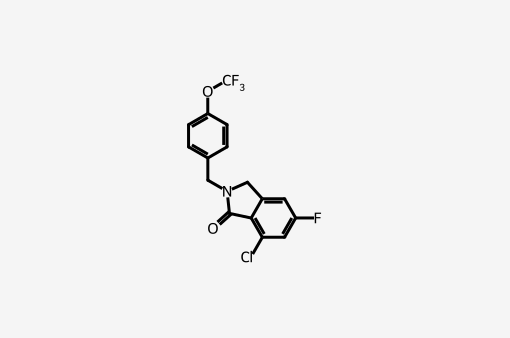 O=C1c2c(Cl)cc(F)cc2CN1Cc1ccc(OC(F)(F)F)cc1